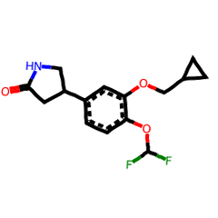 O=C1CC(c2ccc(OC(F)F)c(OCC3CC3)c2)CN1